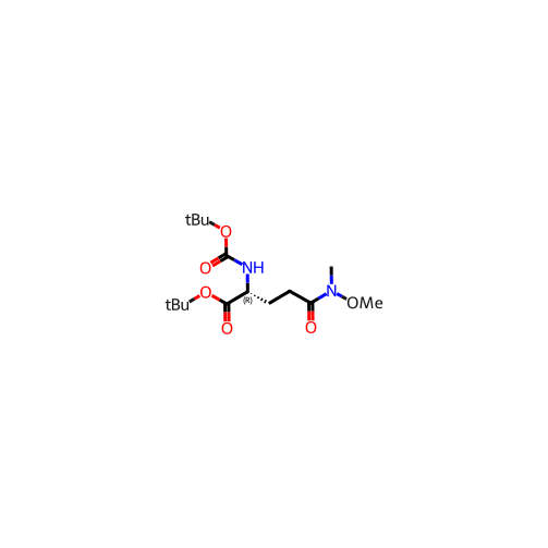 CON(C)C(=O)CC[C@@H](NC(=O)OC(C)(C)C)C(=O)OC(C)(C)C